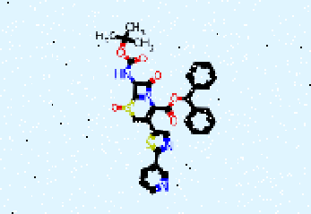 CC(C)(C)OC(=O)NC1C(=O)N2C(C(=O)OC(c3ccccc3)c3ccccc3)=C(c3cnc(-c4cccnc4)s3)C[S+]([O-])C12